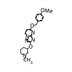 COc1ccc(COc2ccn3nc(OC4CCCN(C)C4)nc3n2)cc1